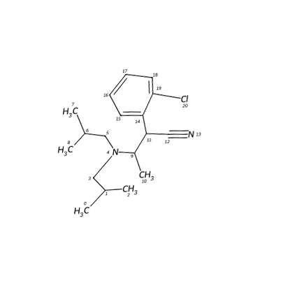 CC(C)CN(CC(C)C)C(C)C(C#N)c1ccccc1Cl